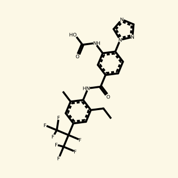 CCc1cc(C(F)(C(F)(F)F)C(F)(F)F)cc(C)c1NC(=O)c1ccc(-n2cncn2)c(NC(=O)O)c1